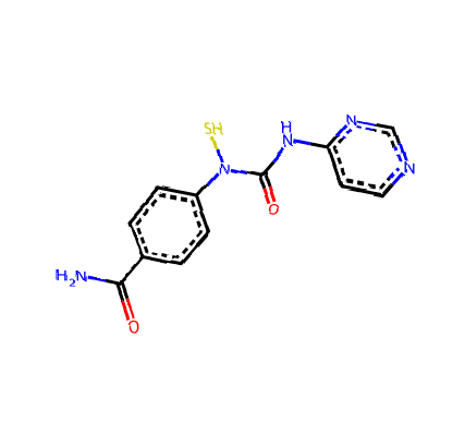 NC(=O)c1ccc(N(S)C(=O)Nc2ccncn2)cc1